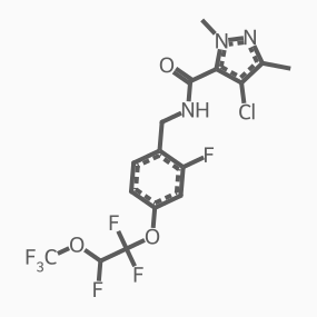 Cc1nn(C)c(C(=O)NCc2ccc(OC(F)(F)C(F)OC(F)(F)F)cc2F)c1Cl